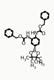 CC1(C)OB(c2ccc(NC(=O)OCc3ccccc3)c(NC(=O)OCc3ccccc3)c2)OC1(C)C